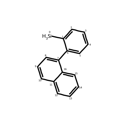 [SiH3]c1ccccc1-c1cccc2ccccc12